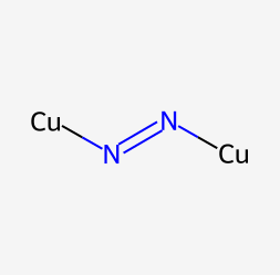 [Cu][N]=[N][Cu]